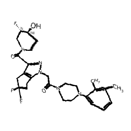 Cc1cccc(N2CCN(C(=O)Cn3nc(C(=O)N4CC[C@H](O)[C@@H](F)C4)c4c3CC(F)(F)C4)CC2)c1C